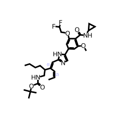 C/C=C\C(=C/c1ncc(-c2cc(OC)c(C(=O)NC3CC3)c(OCC(F)F)c2)[nH]1)C(CCCC)CNC(=O)OC(C)(C)C